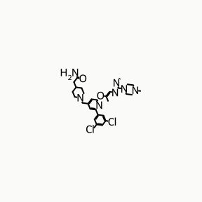 C=N/C(=N\C=C(/C)Oc1cc(CN2CCC(CC(N)=O)CC2)cc(-c2cc(Cl)cc(Cl)c2)n1)N1CCN(C)CC1